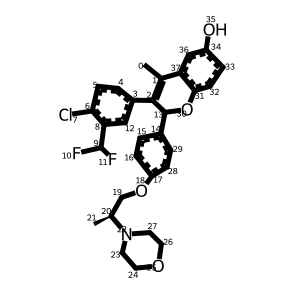 CC1=C(c2ccc(Cl)c(C(F)F)c2)C(c2ccc(OC[C@H](C)N3CCOCC3)cc2)Oc2ccc(O)cc21